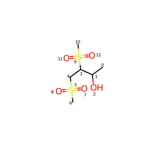 CC(O)C(CS(C)(=O)=O)S(C)(=O)=O